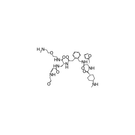 CN[C@H]1CC[C@@H](C(=O)N[C@@H](Cc2ccco2)C(=O)NCc2ccccc2CC(=O)N[C@@H](CNC(=O)/C=C\NCC=O)C(=O)NCCOCCN)CC1